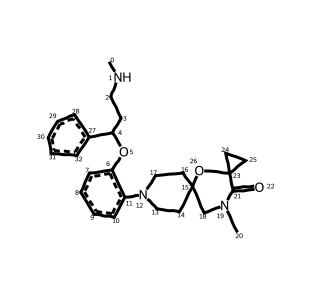 CNCCC(Oc1ccccc1N1CCC2(CC1)CN(C)C(=O)C1(CC1)O2)c1ccccc1